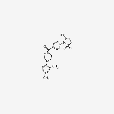 Cc1ccc(N2CCN(C(=O)c3ccc(N4[C@@H](C(C)C)CCS4(=O)=O)cc3)CC2)c(C)c1